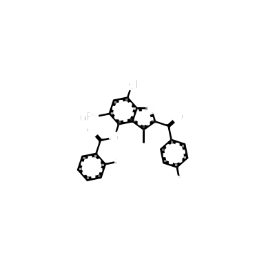 CCCc1cc(Cl)c2oc(C(=O)c3ccc(Cl)cc3)c(C)c2c1OC(=O)c1ccccc1Cl